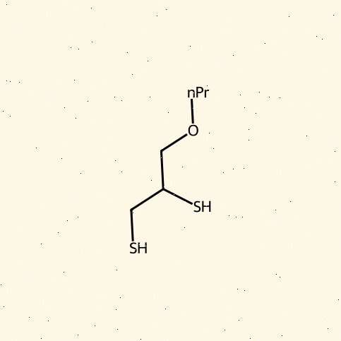 CCCOCC(S)CS